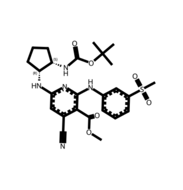 COC(=O)c1c(C#N)cc(N[C@@H]2CCC[C@@H]2NC(=O)OC(C)(C)C)nc1Nc1cccc(S(C)(=O)=O)c1